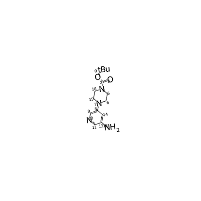 CC(C)(C)OC(=O)N1CCN(c2cncc(N)c2)CC1